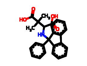 CC(C)(C(=O)O)C(NC1(c2ccccc2)c2ccccc2-c2ccccc21)C(=O)O